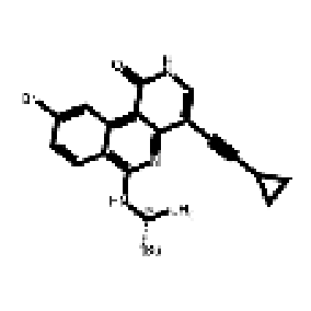 C[C@@H](Nc1nc2c(C#CC3CC3)c[nH]c(=O)c2c2cc(Br)ccc12)C(C)(C)C